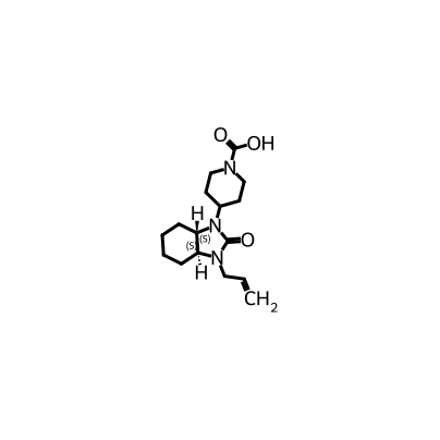 C=CCN1C(=O)N(C2CCN(C(=O)O)CC2)[C@H]2CCCC[C@@H]21